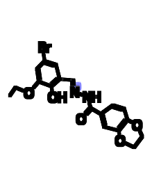 CCOc1cc(Br)cc(/C=N/NC(=O)c2ccc3c(c2)OCCO3)c1O